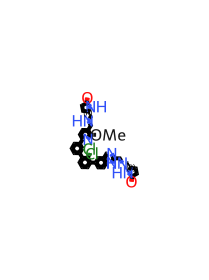 COc1nc(-c2cccc(-c3cccc(-c4ccc5nc(CNC[C@H]6CCC(=O)N6)ncc5c4)c3Cl)c2Cl)ccc1CNC[C@H]1CCC(=O)N1